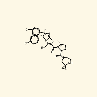 CC(C)C1=C(C(=O)N2[C@H](C)CC[C@H]2C(=O)N2CCNC3(CC3)C2)SC2=N[C@@](C)(c3ccc(Cl)nc3)[C@@H](c3ccc(Cl)cc3)N21